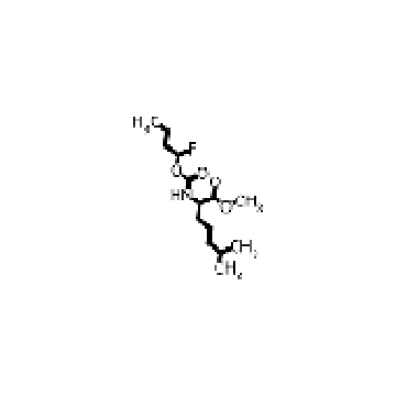 CCCC(F)OC(=O)NC(CCCC(C)C)C(=O)OC